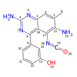 Cc1cc2nc(N)nc(-c3cccc(O)c3)c2c(N=C=O)c1N